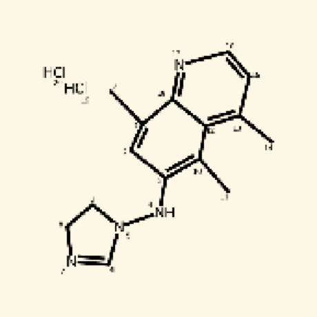 Cc1cc(NN2C=NCC2)c(C)c2c(C)ccnc12.Cl.Cl